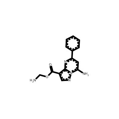 NCOC(=O)c1cnn2c(N)cc(-c3ccccc3)nc12